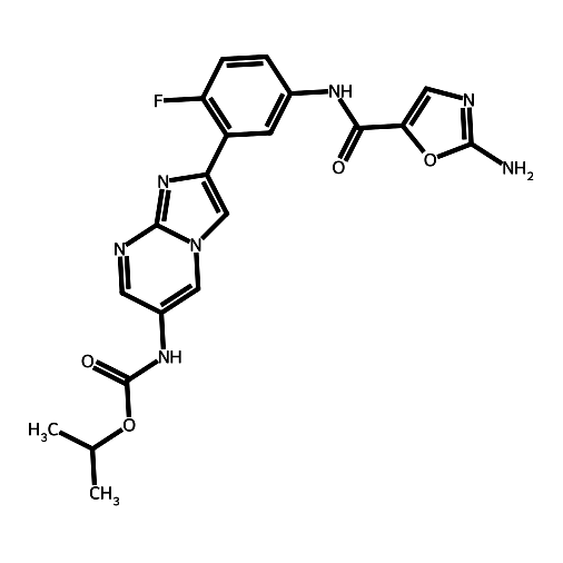 CC(C)OC(=O)Nc1cnc2nc(-c3cc(NC(=O)c4cnc(N)o4)ccc3F)cn2c1